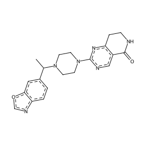 CC(c1ccc2ncoc2c1)N1CCN(c2ncc3c(n2)CCNC3=O)CC1